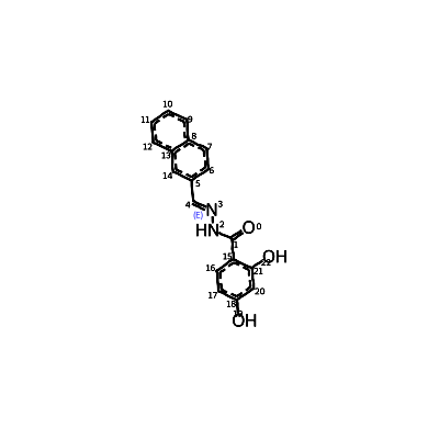 O=C(N/N=C/c1ccc2ccccc2c1)c1ccc(O)cc1O